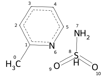 Cc1ccccn1.N[SH](=O)=O